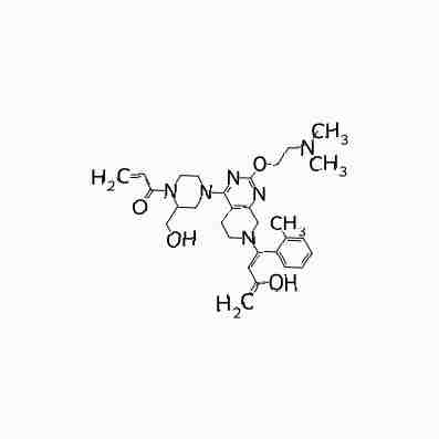 C=CC(=O)N1CCN(c2nc(OCCN(C)C)nc3c2CCN(/C(=C/C(=C)O)c2ccccc2C)C3)CC1CO